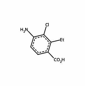 CCc1c(C(=O)O)ccc(N)c1Cl